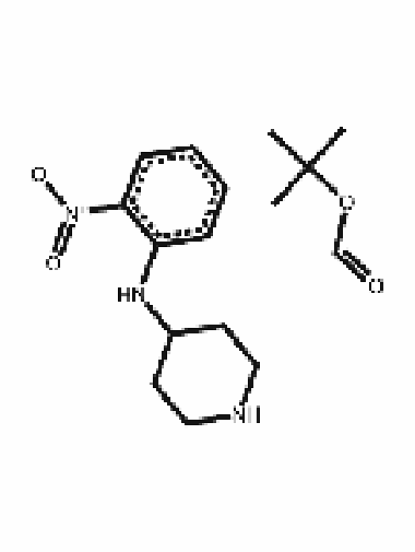 CC(C)(C)OC=O.O=[N+]([O-])c1ccccc1NC1CCNCC1